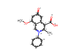 COc1cc(=O)cc2c(C(=O)O)c(C)n(-c3ccccc3)cc1-2